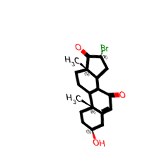 C[C@]12CC[C@H](O)CC1=CC(=O)C1C2CC[C@]2(C)C(=O)[C@H](Br)CC12